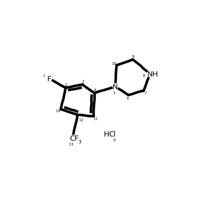 Cl.Fc1cc(N2CCNCC2)cc(C(F)(F)F)c1